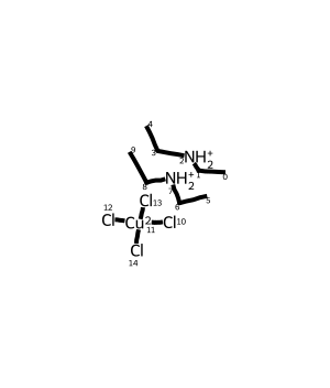 CC[NH2+]CC.CC[NH2+]CC.[Cl][Cu-2]([Cl])([Cl])[Cl]